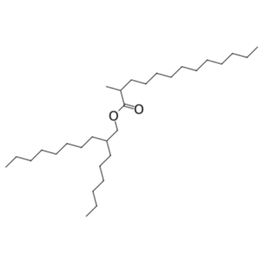 CCCCCCCCCCCC(C)C(=O)OCC(CCCCCC)CCCCCCCC